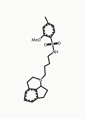 COc1cc(C)ccc1S(=O)(=O)NCCCCN1CCc2cccc3c2C1CC3